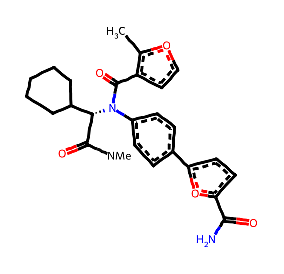 CNC(=O)[C@H](C1CCCCC1)N(C(=O)c1ccoc1C)c1ccc(-c2ccc(C(N)=O)o2)cc1